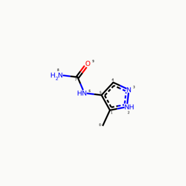 Cc1[nH]ncc1NC(N)=O